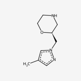 Cc1cnn(C[C@@H]2CNCCO2)c1